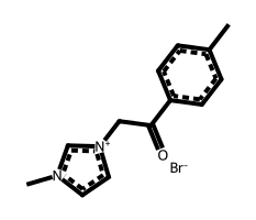 Cc1ccc(C(=O)C[n+]2ccn(C)c2)cc1.[Br-]